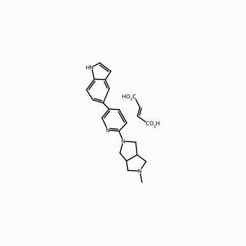 CN1CC2CN(c3ccc(-c4ccc5[nH]ccc5c4)cn3)CC2C1.O=C(O)C=CC(=O)O